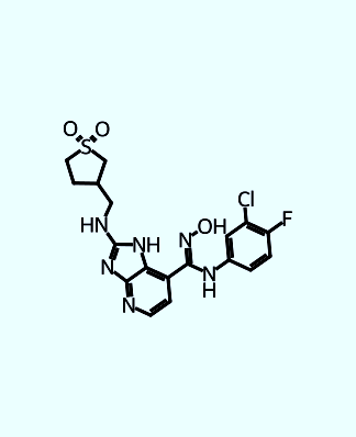 O=S1(=O)CCC(CNc2nc3nccc(C(=NO)Nc4ccc(F)c(Cl)c4)c3[nH]2)C1